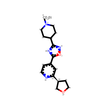 CCOC(=O)N1CCC(c2noc(-c3ccnc([C@H]4CCOC4)c3)n2)CC1